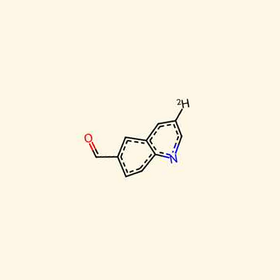 [2H]c1cnc2ccc(C=O)cc2c1